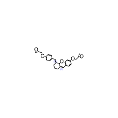 O=C1/C(=C\c2ccc(OCC3CO3)cc2)CCC/C1=C\c1ccc(OCC2CO2)cc1